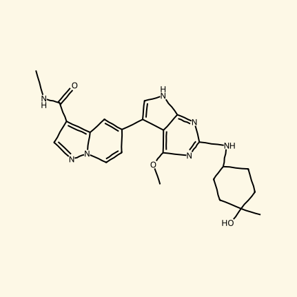 CNC(=O)c1cnn2ccc(-c3c[nH]c4nc(NC5CCC(C)(O)CC5)nc(OC)c34)cc12